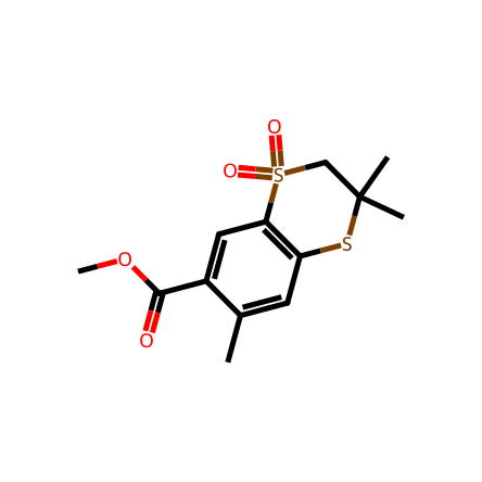 COC(=O)c1cc2c(cc1C)SC(C)(C)CS2(=O)=O